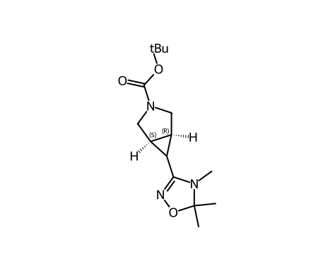 CN1C(C2[C@H]3CN(C(=O)OC(C)(C)C)C[C@@H]23)=NOC1(C)C